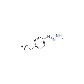 CCc1ccc(N=NN)cc1